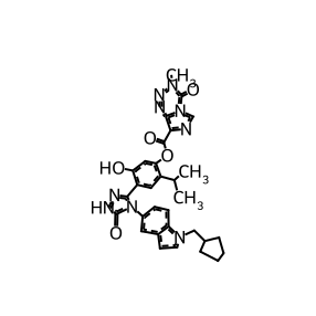 CC(C)c1cc(-c2n[nH]c(=O)n2-c2ccc3c(ccn3CC3CCCC3)c2)c(O)cc1OC(=O)c1ncn2c(=O)n(C)nnc12